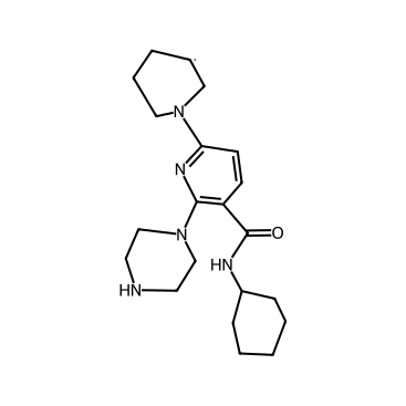 O=C(NC1CCCCC1)c1ccc(N2C[CH]CCC2)nc1N1CCNCC1